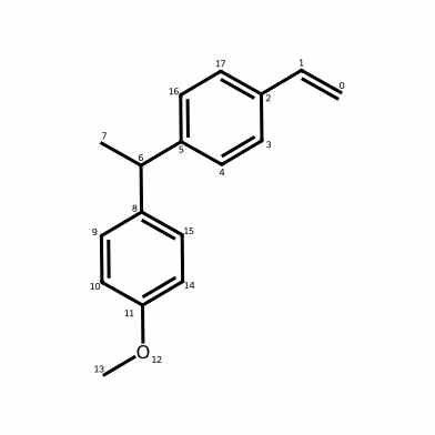 C=Cc1ccc(C(C)c2ccc(OC)cc2)cc1